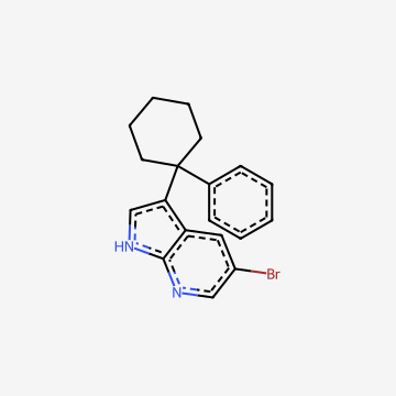 Brc1cnc2[nH]cc(C3(c4ccccc4)CCCCC3)c2c1